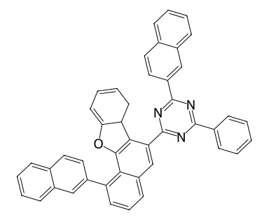 C1=CCC2C(=C1)Oc1c2c(-c2nc(-c3ccccc3)nc(-c3ccc4ccccc4c3)n2)cc2cccc(-c3ccc4ccccc4c3)c12